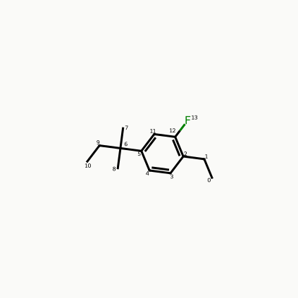 CCc1ccc(C(C)(C)CC)cc1F